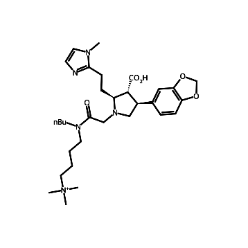 CCCCN(CCCC[N+](C)(C)C)C(=O)CN1C[C@H](c2ccc3c(c2)OCO3)[C@@H](C(=O)O)[C@@H]1CCc1nccn1C